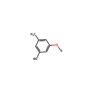 Cc1cc([O][Ti])cc(C(C)(C)C)c1